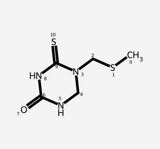 CSCN1CNC(=O)NC1=S